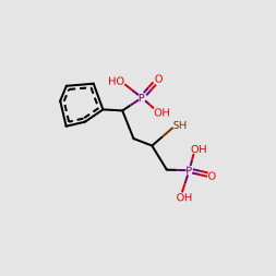 O=P(O)(O)CC(S)CC(c1ccccc1)P(=O)(O)O